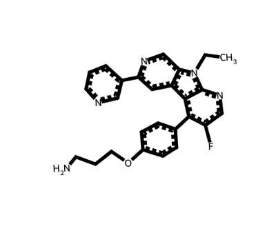 CCn1c2cnc(-c3cccnc3)cc2c2c(-c3ccc(OCCCN)cc3)c(F)cnc21